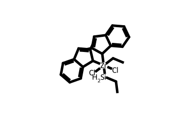 CC[SiH2][Zr]([Cl])([Cl])([CH2]C)([CH]1C(C)=Cc2ccccc21)[CH]1C(C)=Cc2ccccc21